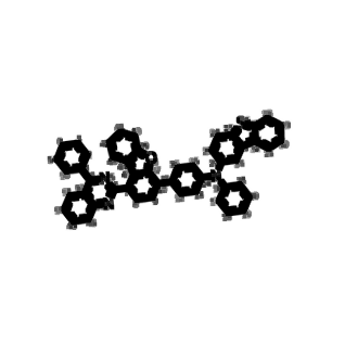 c1ccc(-c2nc(-c3ccc(-c4ccc(N(c5ccccc5)c5ccc6sc7ccccc7c6c5)cc4)c4oc5ccccc5c34)nc3ccccc23)cc1